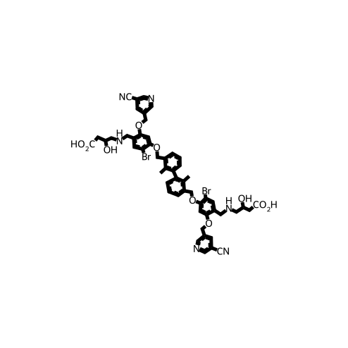 Cc1c(COc2cc(OCc3cncc(C#N)c3)c(CNCC(O)CC(=O)O)cc2Br)cccc1-c1cccc(COc2cc(OCc3cncc(C#N)c3)c(CNCC(O)CC(=O)O)cc2Br)c1C